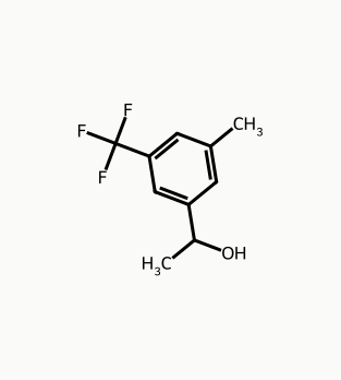 Cc1cc(C(C)O)cc(C(F)(F)F)c1